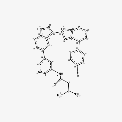 CC(C)CC(=O)Nc1cncc(-c2cc3c(-c4cc5c(-c6ccc(F)cc6)cccc5[nH]4)n[nH]c3cn2)c1